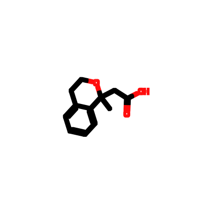 CC1(CC(=O)O)OCCc2ccccc21